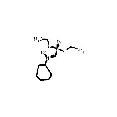 CCOP(=O)(C=[N+]([O-])C1CCCCC1)OCC